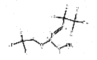 FC(F)(F)COP(N=PC(F)(F)C(F)(F)F)NP